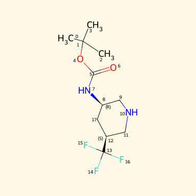 CC(C)(C)OC(=O)N[C@H]1CNC[C@@H](C(F)(F)F)C1